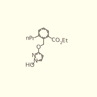 CCCc1cccc(C(=O)OCC)c1COc1ccn(O)n1